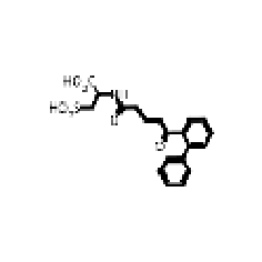 O=C(CCCC(=O)c1ccccc1-c1ccccc1)N[C@@H](CS(=O)(=O)O)C(=O)O